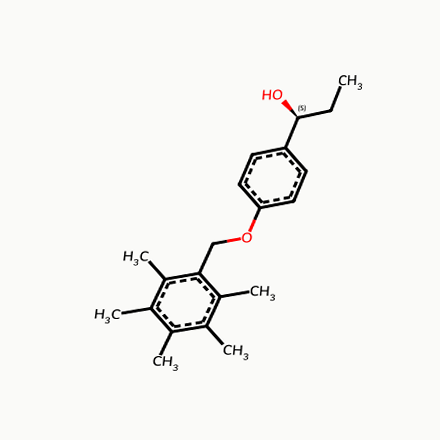 CC[C@H](O)c1ccc(OCc2c(C)c(C)c(C)c(C)c2C)cc1